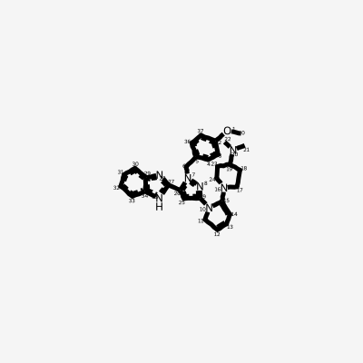 COc1ccc(Cn2nc(N3CC=CC=C3N3CCC(N(C)C)CC3)cc2-c2nc3ccccc3[nH]2)cc1